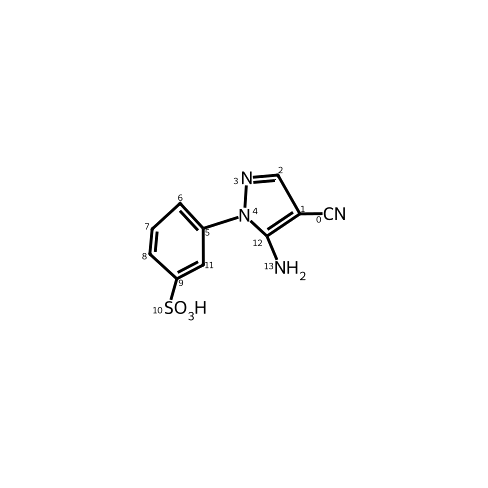 N#Cc1cnn(-c2cccc(S(=O)(=O)O)c2)c1N